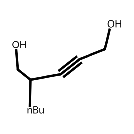 CCCCC(C#CCO)CO